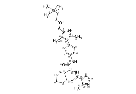 Cc1nn(COCC[Si](C)(C)C)c(C)c1-c1ccc(NC(=O)C(NC(=O)c2ccnn2C)C2CCCCC2)cc1